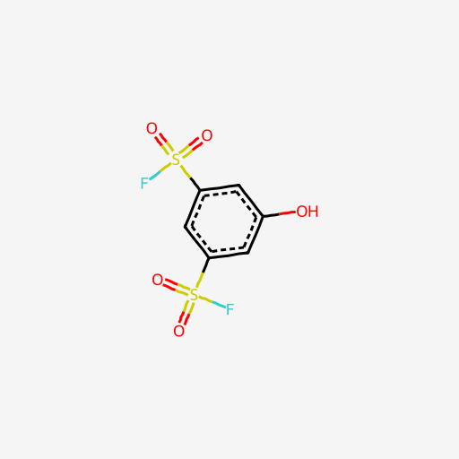 O=S(=O)(F)c1cc(O)cc(S(=O)(=O)F)c1